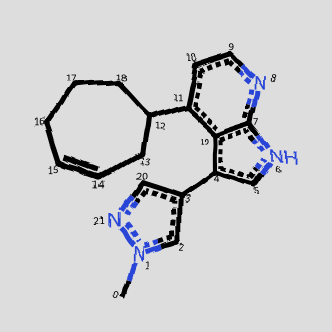 Cn1cc(-c2c[nH]c3nccc(C4CC=CCCC4)c23)cn1